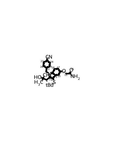 CC(C)(O)Cc1c(SC(C)(C)C)c2cc(OCC(N)=O)ccc2n1Cc1ccc(C#N)cc1